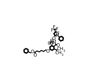 CC(C)c1cc(OCCCCCC(=O)OCc2ccccc2)cc2c1C(=O)N(COc1cc(C(F)(F)F)nn1-c1ccccc1)S2(=O)=O